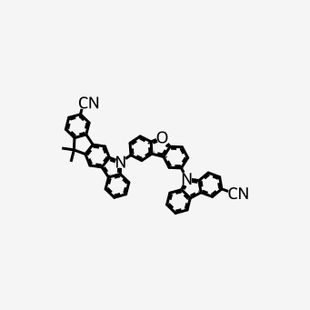 CC1(C)c2ccc(C#N)cc2-c2cc3c(cc21)c1ccccc1n3-c1ccc2oc3ccc(-n4c5ccccc5c5cc(C#N)ccc54)cc3c2c1